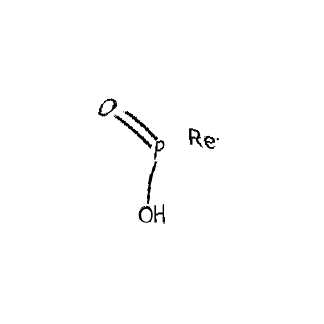 O=PO.[Re]